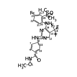 CONC(=O)c1ccc(Nc2ncc(C(F)(F)F)c(Nc3ccc(F)cc3P(C)(C)=O)n2)cc1